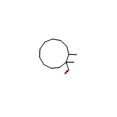 CC1CCCCCCCCCC1(C)C=O